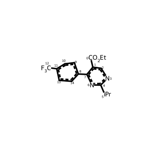 CCOC(=O)c1cnc(C(C)C)nc1-c1ccc(C(F)(F)F)cc1